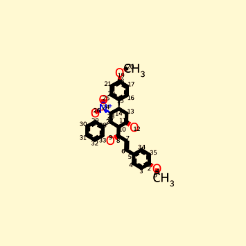 COc1ccc(/C=C/C(=O)C2C(=O)C[C@H](c3ccc(OC)cc3)[C@H]([N+](=O)[O-])[C@H]2c2ccccc2)cc1